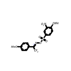 COc1ccc(/C(=N/OS(=O)(=O)c2ccc(OC)c([N+](=O)[O-])c2)C(F)(F)F)cc1